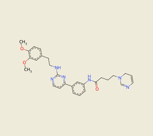 COc1ccc(CCNc2nccc(-c3cccc(NC(=O)CCCN4C=NC=CC4)c3)n2)cc1OC